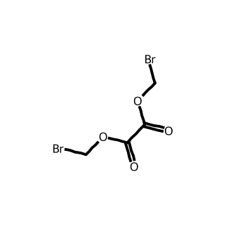 O=C(OCBr)C(=O)OCBr